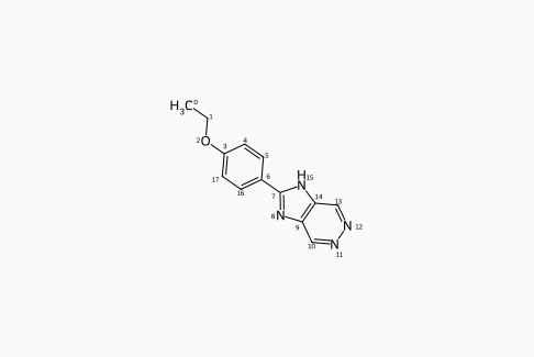 CCOc1ccc(-c2nc3cnncc3[nH]2)cc1